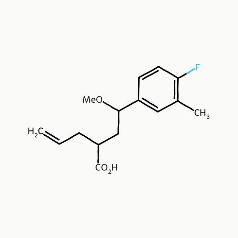 C=CCC(CC(OC)c1ccc(F)c(C)c1)C(=O)O